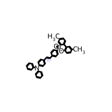 Cc1ccc2c(c1)-c1ccc(C)cc1P(=O)(c1ccc(/C=C/c3ccc(N(c4ccccc4)c4ccccc4)cc3)cc1)O2